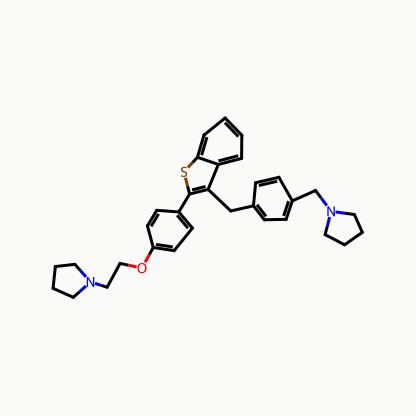 c1ccc2c(Cc3ccc(CN4CCCC4)cc3)c(-c3ccc(OCCN4CCCC4)cc3)sc2c1